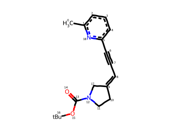 Cc1cccc(C#CC=C2CCN(C(=O)OC(C)(C)C)C2)n1